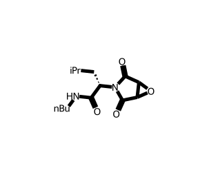 CCCCNC(=O)[C@H](CC(C)C)N1C(=O)C2OC2C1=O